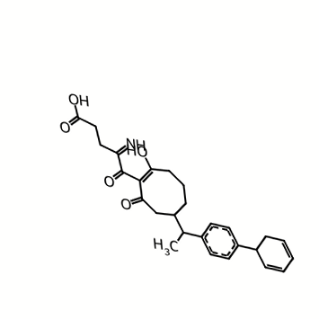 CC(c1ccc(C2C=CC=CC2)cc1)C1CCC/C(O)=C(/C(=O)C(=N)CCC(=O)O)C(=O)C1